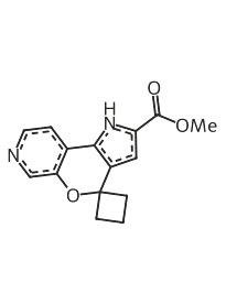 COC(=O)c1cc2c([nH]1)-c1ccncc1OC21CCC1